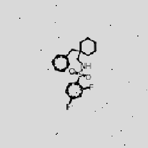 O=S(=O)(NCC1(Cc2ccccc2)CCCCC1)c1ccc(F)cc1F